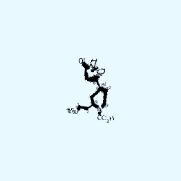 CC(C)(C)CC[C@H]1C[C@@H](c2cc(=O)[nH]o2)CCN1C(=O)O